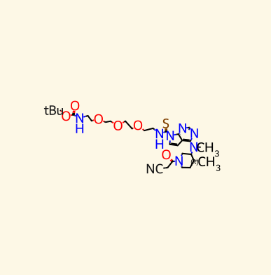 C[C@@H]1CCN(C(=O)CC#N)CC1N(C)c1ncnc2c1ccn2C(=S)NCCOCCOCCOCCNC(=O)OC(C)(C)C